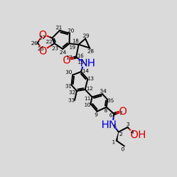 CC[C@H](CO)NC(=O)c1ccc(-c2cc(NC(=O)C3(c4ccc5c(c4)OCO5)CC3)ccc2C)cc1